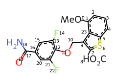 COc1cccc2sc(C(=O)O)c(COc3c(F)cc(C(N)=O)cc3F)c12